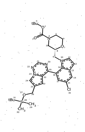 CC(C)(C)OC(=O)N1CCO[C@H](Cn2ccc3cc(Cl)cc(-c4ncnn5cc(CO[Si](C)(C)C(C)(C)C)cc45)c32)C1